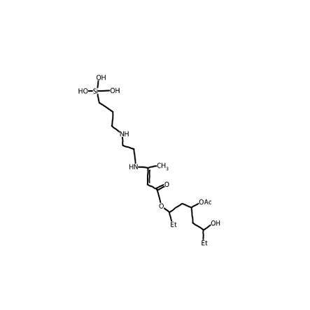 CCC(O)CC(CC(CC)OC(=O)/C=C(\C)NCCNCCC[Si](O)(O)O)OC(C)=O